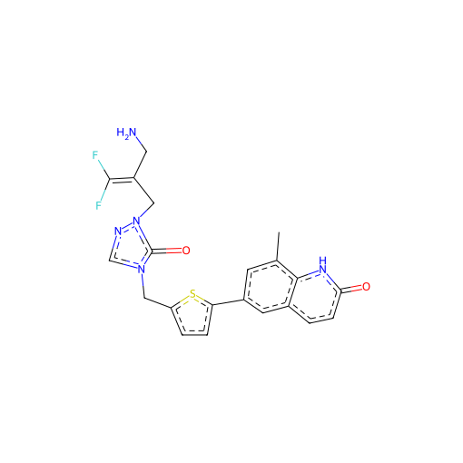 Cc1cc(-c2ccc(Cn3cnn(CC(CN)=C(F)F)c3=O)s2)cc2ccc(=O)[nH]c12